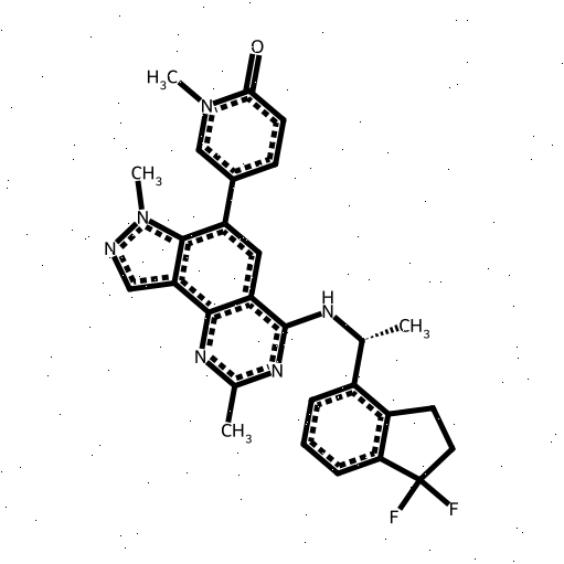 Cc1nc(N[C@H](C)c2cccc3c2CCC3(F)F)c2cc(-c3ccc(=O)n(C)c3)c3c(cnn3C)c2n1